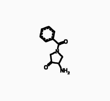 NC1CN(C(=O)c2ccccc2)CC1=O